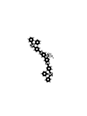 C[Si]1(C)c2cc3sc(-c4ccc(-c5nnc(-c6ccccc6)n5-c5ccccc5)cc4)nc3cc2-c2cc3nc(-c4ccc(-c5nnc(-c6ccccc6)n5-c5ccccc5)cc4)sc3cc21